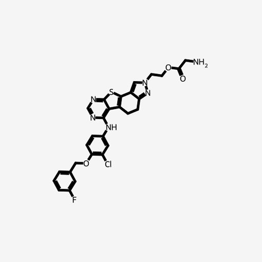 NCC(=O)OCCn1cc2c(n1)CCc1c-2sc2ncnc(Nc3ccc(OCc4cccc(F)c4)c(Cl)c3)c12